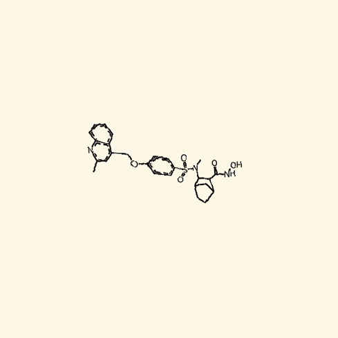 Cc1cc(COc2ccc(S(=O)(=O)N(C)C3C4CCC(C4)C3C(=O)NO)cc2)c2ccccc2n1